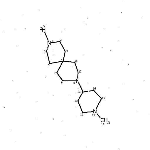 [2H]N1CCC2(CC1)CCN(C1CCN(C)CC1)CC2